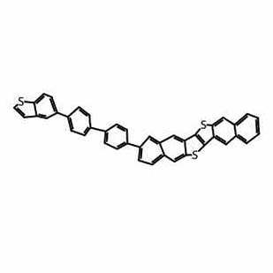 c1ccc2cc3c(cc2c1)sc1c2cc4cc(-c5ccc(-c6ccc(-c7ccc8sccc8c7)cc6)cc5)ccc4cc2sc31